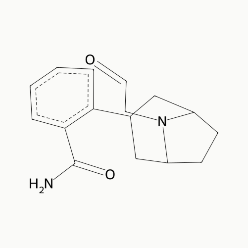 NC(=O)c1ccccc1C1CC2CCC(C1)N2CC=O